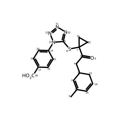 CC1=CC(CC(=O)C2(Sc3nnnn3-c3ccc(C(=O)O)cc3)CC2)CC=C1